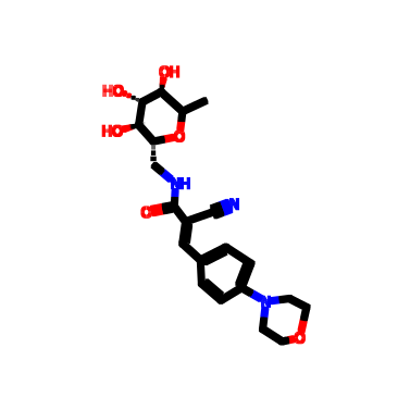 CC1O[C@H](CNC(=O)/C(C#N)=C/c2ccc(N3CCOCC3)cc2)[C@@H](O)[C@H](O)[C@H]1O